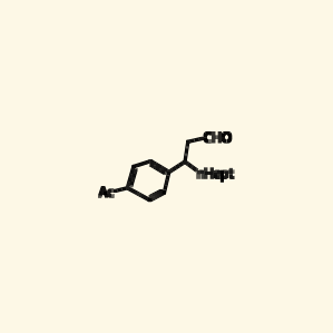 CCCCCCCC(CC=O)c1ccc(C(C)=O)cc1